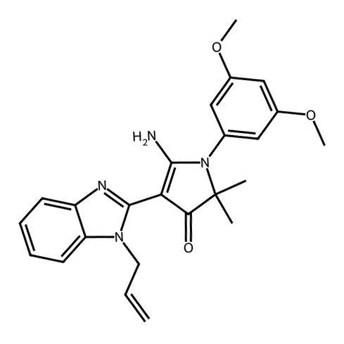 C=CCn1c(C2=C(N)N(c3cc(OC)cc(OC)c3)C(C)(C)C2=O)nc2ccccc21